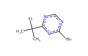 CCC(C)(C)c1ncnc(C(C)(C)C)n1